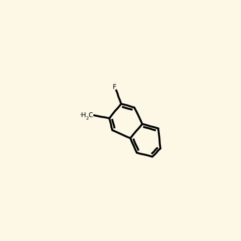 [CH2]c1cc2ccccc2cc1F